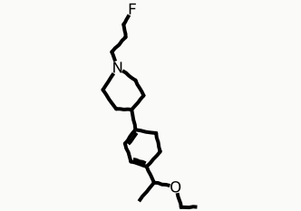 CCOC(C)C1=CC=C(C2CCN(CCCF)CC2)CC1